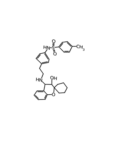 Cc1ccc(S(=O)(=O)Nc2ccc(CCNC3c4ccccc4OC4(CCCCC4)C3O)cc2)cc1